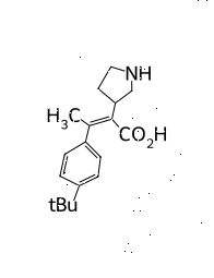 C/C(=C(/C(=O)O)C1CCNC1)c1ccc(C(C)(C)C)cc1